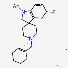 CC(=O)N1CC2(CCN(CC3=CCCCC3)CC2)C2=C1C=CC(F)C2